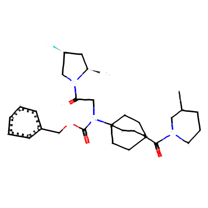 CCOC(=O)C1CCCN(C(=O)C23CCC(N(CC(=O)N4C[C@@H](F)C[C@H]4C#N)C(=O)OCc4ccccc4)(CC2)CC3)C1